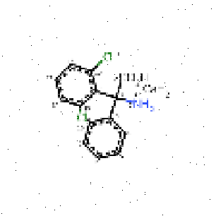 NC(C(=O)O)(c1ccccc1)c1c(Cl)cccc1Cl.[CaH2]